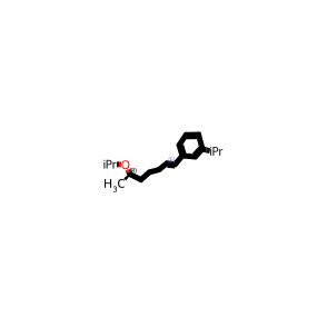 CC(C)O[C@H](C)CCC/C=C/c1cccc(C(C)C)c1